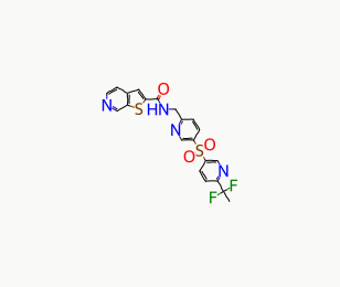 CC(F)(F)c1ccc(S(=O)(=O)c2ccc(CNC(=O)c3cc4ccncc4s3)nc2)cn1